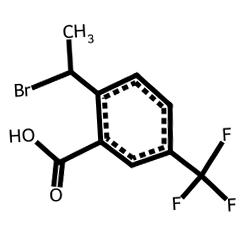 CC(Br)c1ccc(C(F)(F)F)cc1C(=O)O